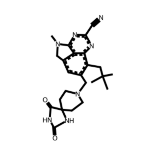 CN1Cc2cc(CN3CCC4(CC3)NC(=O)NC4=O)c(CC(C)(C)C)c3nc(C#N)nc1c23